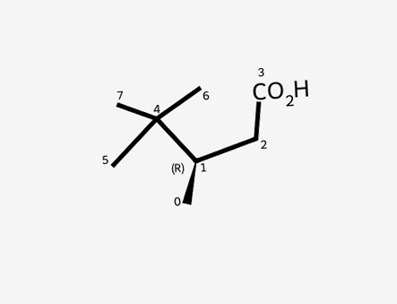 C[C@H](CC(=O)O)C(C)(C)C